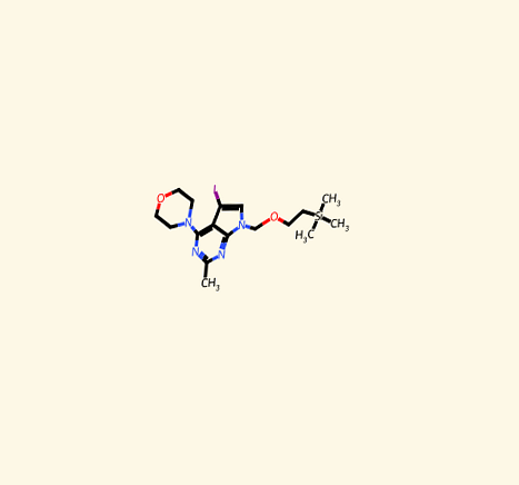 Cc1nc(N2CCOCC2)c2c(I)cn(COCC[Si](C)(C)C)c2n1